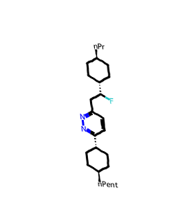 CCCCC[C@H]1CC[C@H](c2ccc(CC(F)[C@H]3CC[C@H](CCC)CC3)nn2)CC1